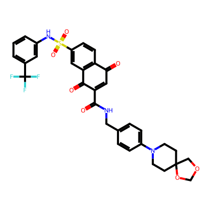 O=C(NCc1ccc(N2CCC3(CC2)COCO3)cc1)C1=CC(=O)c2ccc(S(=O)(=O)Nc3cccc(C(F)(F)F)c3)cc2C1=O